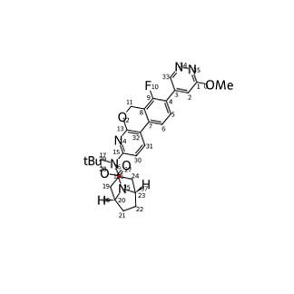 COc1cc(-c2ccc3c(c2F)COc2nc(N(C)C4C[C@H]5CC[C@@H](C4)N5C(=O)OC(C)(C)C)ccc2-3)cnn1